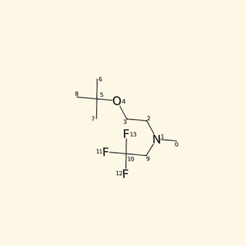 CN(CCOC(C)(C)C)CC(F)(F)F